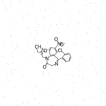 CC[S+]([O-])CN1C(=O)CN=C(c2ccccc2Cl)c2cc([N+](=O)[O-])ccc21